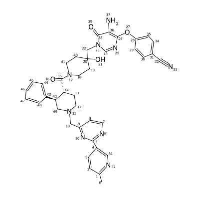 Cc1ccc(-c2nccc(CN3CC[C@@H](C(=O)N4CCC(O)(Cn5cnc(Oc6ccc(C#N)cc6)c(N)c5=O)CC4)[C@H](c4ccccc4)C3)n2)cn1